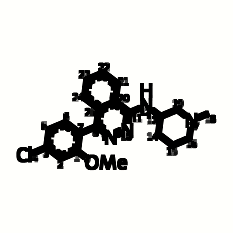 COc1cc(Cl)ccc1-c1nnc(NC2CCCN(C)C2)c2ccccc12